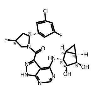 O=C(c1n[nH]c2ncnc(N[C@H]3[C@H](O)[C@H](O)[C@@H]4C[C@@H]43)c12)N1C[C@@H](F)C[C@@H]1c1cc(F)cc(Cl)c1